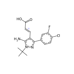 CC(C)(C)n1nc(-c2ccc(Cl)c(F)c2)c(/C=C/C(=O)O)c1N